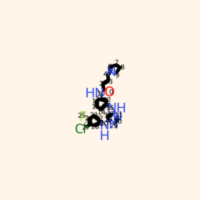 O=C(/C=C/CN1CCCC1)Nc1cccc(Nc2cc(Nc3ccc(F)c(Cl)c3)ncn2)c1